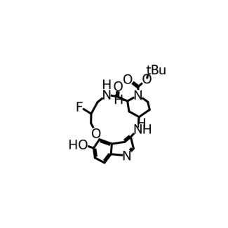 CC(C)(C)OC(=O)N1CC[C@H]2C[C@H]1C(=O)NCC(F)COc1c(O)ccc3ncc(cc13)N2